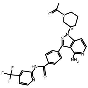 CC(=O)N1CCC[C@@H](n2nc(-c3ccc(C(=O)Nc4cc(C(F)(F)F)ccn4)cc3)c3c(N)nccc32)C1